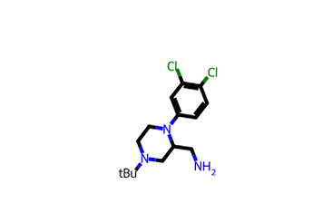 CC(C)(C)N1CCN(c2ccc(Cl)c(Cl)c2)C(CN)C1